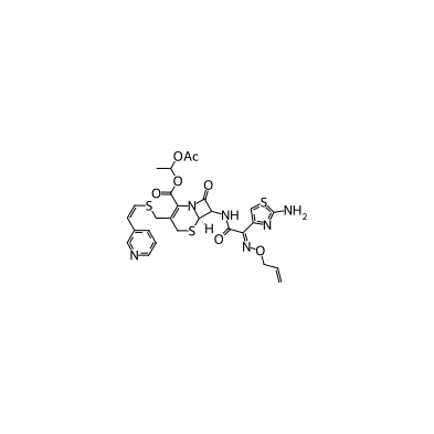 C=CCO/N=C(/C(=O)NC1C(=O)N2C(C(=O)OC(C)OC(C)=O)=C(CS/C=C\c3cccnc3)CS[C@H]12)c1csc(N)n1